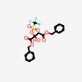 O=C(CC(O)(OS(=O)(=O)C(F)(F)F)C(=O)OCc1ccccc1)OCc1ccccc1